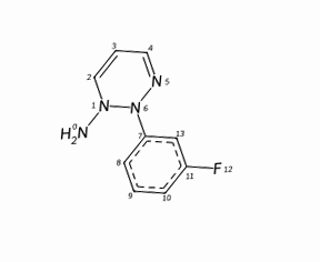 NN1C=CC=NN1c1cccc(F)c1